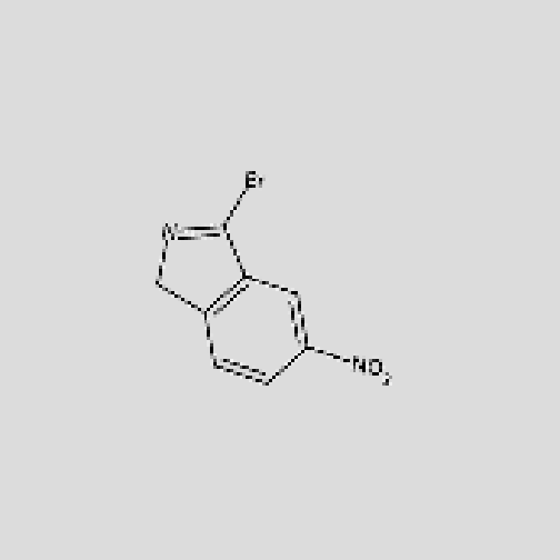 O=[N+]([O-])c1ccc2c(c1)C(Br)=NC2